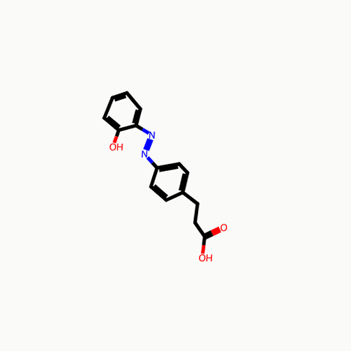 O=C(O)CCc1ccc(/N=N/c2ccccc2O)cc1